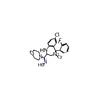 [O-][N+]1=C(c2ccccc2F)c2cc(Cl)ccc2NC(/C(=N/O)N2CCOCC2)C1